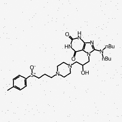 CCCCN(CCCC)c1nc2[nH]c(=O)[nH]c(=O)c2n1CC(O)CN1CCN(CCC[S+]([O-])c2ccc(C)cc2)CC1